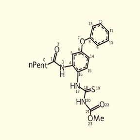 CCCCCC(=O)Nc1cc(Oc2ccccc2)ccc1NC(=S)NC(=O)OC